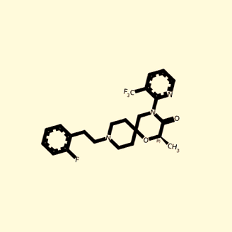 C[C@H]1OC2(CCN(CCc3ccccc3F)CC2)CN(c2ncccc2C(F)(F)F)C1=O